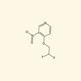 O=[N+]([O-])c1cnccc1OCC(F)F